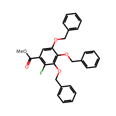 COC(=O)c1cc(OCc2ccccc2)c(OCc2ccccc2)c(OCc2ccccc2)c1F